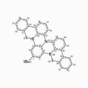 CC(C)(C)c1cc2c3c(c1)B1Sc4ccccc4-c4cccc(c41)N3c1cccc3c1B2Sc1ccccc1-3